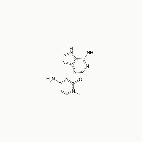 Cn1ccc(N)nc1=O.Nc1ncnc2nc[nH]c12